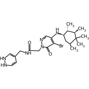 C[C@@H]1[C@@H](C)C(C)(C)[C@@H](C)C[C@H]1Nc1cnn(CC(=O)NCC2=CNNC=C2)c(=O)c1Br